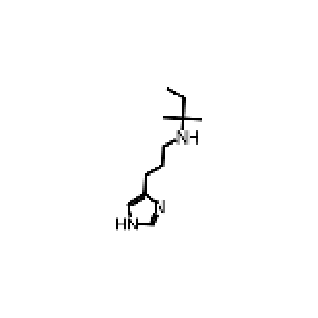 CCC(C)(C)NCCCc1c[nH]cn1